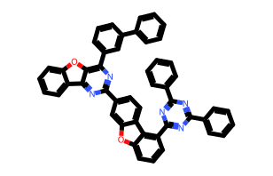 c1ccc(-c2cccc(-c3nc(-c4ccc5c(c4)oc4cccc(-c6nc(-c7ccccc7)nc(-c7ccccc7)n6)c45)nc4c3oc3ccccc34)c2)cc1